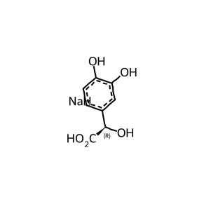 O=C(O)[C@H](O)c1ccc(O)c(O)c1.[NaH]